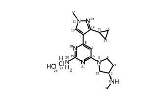 CN[C@@H]1CCN(c2cc(-c3cn(C)nc3C3CC3)nc(N)n2)C1.Cl.Cl